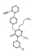 CCCCc1nc(C)n(-c2cccc(Cl)c2)c(=O)c1Cc1ccc(-c2ccccc2C#N)cc1